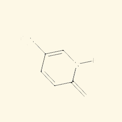 C=C1C=CC([N+](=O)[O-])=CN1CC